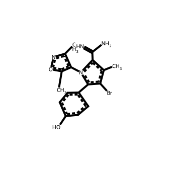 Cc1noc(C)c1-n1c(C(=N)N)c(C)c(Br)c1-c1ccc(O)cc1